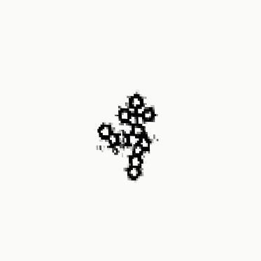 CC1C=C2C(=C(C3=NC4=C(NC3n3c5ccccc5c5cc6ccccc6cc53)C(C)(C)c3ccccc34)C1)c1ccccc1C2(c1ccccc1)c1ccccc1